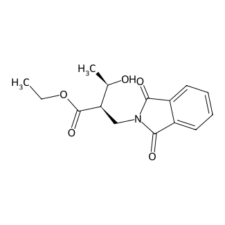 CCOC(=O)[C@H](CN1C(=O)c2ccccc2C1=O)[C@@H](C)O